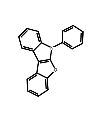 c1ccc(-n2c3ccccc3c3c4ccccc4oc32)cc1